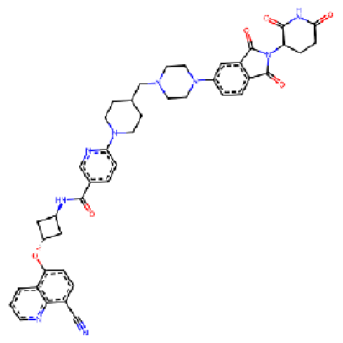 N#Cc1ccc(O[C@H]2C[C@H](NC(=O)c3ccc(N4CCC(CN5CCN(c6ccc7c(c6)C(=O)N(C6CCC(=O)NC6=O)C7=O)CC5)CC4)nc3)C2)c2cccnc12